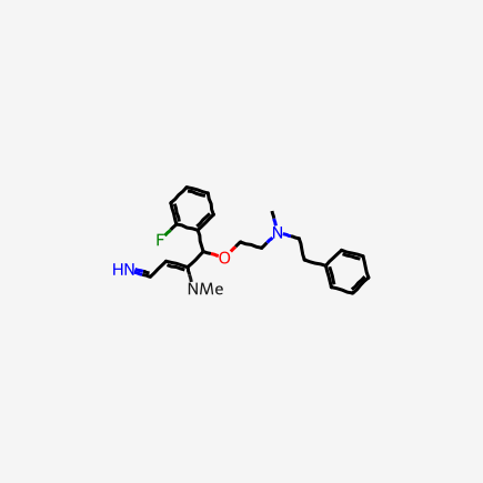 CN/C(=C\C=N)C(OCCN(C)CCc1ccccc1)c1ccccc1F